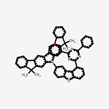 CC1(C)c2ccccc2-c2cc3c4cc5c(cc4n(-c4ccc6oc7cccc(-c8nc(-c9ccccc9)nc(-c9ccccc9)n8)c7c6c4)c3cc21)C(C)(C)c1ccccc1-5